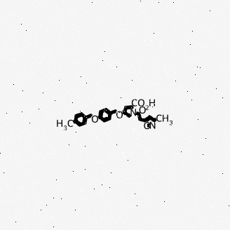 Cc1ccc(COc2ccc(CO[C@@H]3C[C@@H](C(=O)O)N(C(=O)Cc4cc(C)no4)C3)cc2)cc1